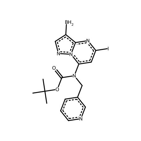 Bc1cnn2c(N(Cc3cccnc3)C(=O)OC(C)(C)C)cc(I)nc12